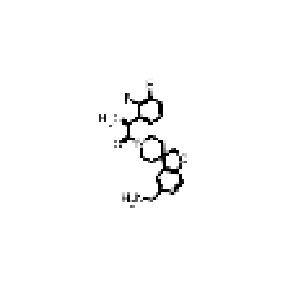 C=C(C(=O)N1CCC2(CC1)COc1ccc(CN)cc12)c1cccc(F)c1F